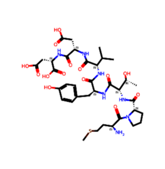 CSCC[C@H](N)C(=O)N1CCC[C@H]1C(=O)N[C@H](C(=O)N[C@@H](Cc1ccc(O)cc1)C(=O)N[C@H](C(=O)N[C@@H](CC(=O)O)C(=O)N[C@@H](CC(=O)O)C(=O)O)C(C)C)[C@@H](C)O